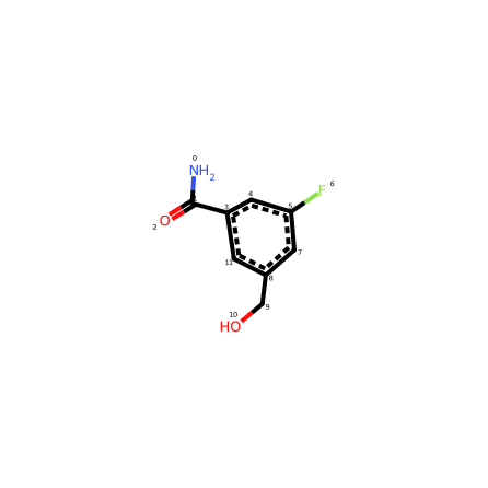 NC(=O)c1cc(F)cc(CO)c1